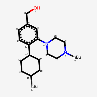 CCCCN1CCN(c2cc(CO)ccc2C2CCC(C(C)(C)C)CC2)CC1